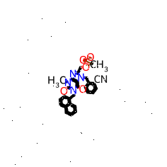 Cn1c(=O)n(Cc2cccc3ccccc23)c(=O)c2c1nc(COS(C)(=O)=O)n2Cc1ccccc1C#N